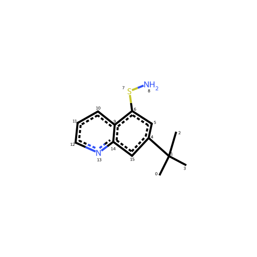 CC(C)(C)c1cc(SN)c2cccnc2c1